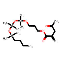 C=C(CC(C)=O)C(=O)OCCCO[Si](C)(C)O[Si](C)(C)O[Si](C)(C)CCCC